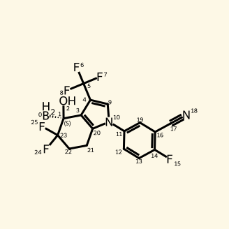 B[C@]1(O)c2c(C(F)(F)F)cn(-c3ccc(F)c(C#N)c3)c2CCC1(F)F